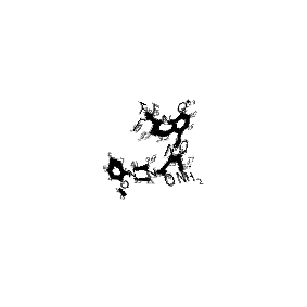 CCOc1ccccc1N1CCN(C(=O)c2nc(-c3ccc(OC)c4nc(C(F)(F)F)ccc34)oc2[C@H](C)N)CC1